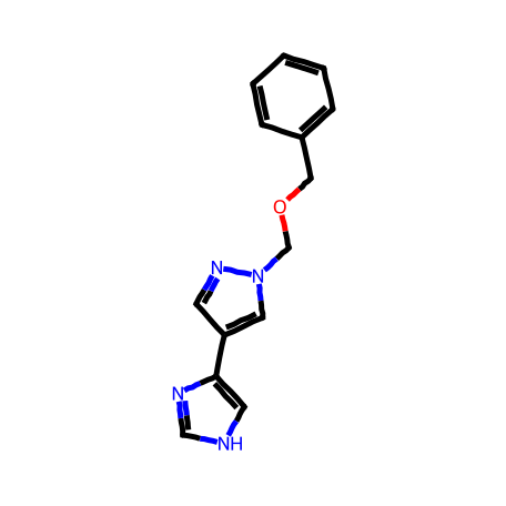 c1ccc(COCn2cc(-c3c[nH]cn3)cn2)cc1